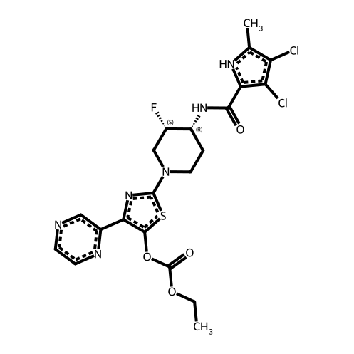 CCOC(=O)Oc1sc(N2CC[C@@H](NC(=O)c3[nH]c(C)c(Cl)c3Cl)[C@@H](F)C2)nc1-c1cnccn1